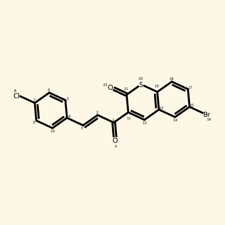 O=C(/C=C/c1ccc(Cl)cc1)c1cc2cc(Br)ccc2sc1=O